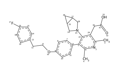 Cc1nc(C)c(-c2ccc(OCCc3ccc(F)cc3)cc2)c(N2CC3CC3C2)c1CC(=O)O